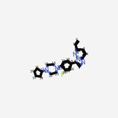 C=Cc1ccc2ncc(-c3ccc(N4CCN(C5CCCC5)CC4)c(F)c3)n2n1